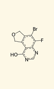 Oc1ncnc2c(F)c(Br)c3c(c12)COC3